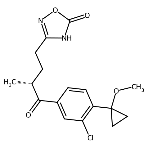 COC1(c2ccc(C(=O)[C@H](C)CCc3noc(=O)[nH]3)cc2Cl)CC1